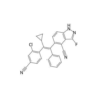 N#Cc1ccc(/C(=C(\c2[c]cccc2)c2ccc3[nH]nc(F)c3c2C#N)C2CC2)c(Cl)c1